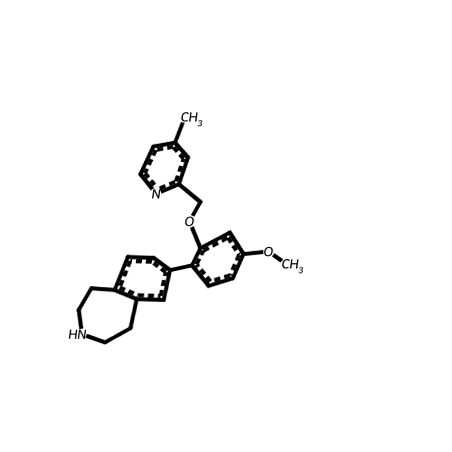 COc1ccc(-c2ccc3c(c2)CCNCC3)c(OCc2cc(C)ccn2)c1